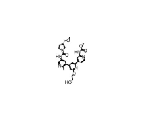 COC[C@H]1CCN(C(=O)Nc2cnc(C)c(-c3cc(OCCO)nc(-c4ccnc(NC(=O)OC)c4)c3)c2)C1